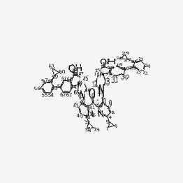 O=C(c1nc(C2CC2)ccc1N1CC[C@]2(C[C@H](O)c3cc(-c4ccccc4C4CC4)ccc32)C1)c1nc(C2CC2)ccc1N1CC[C@]2(C[C@H](O)c3cc(-c4ccccc4C4CC4)ccc32)C1